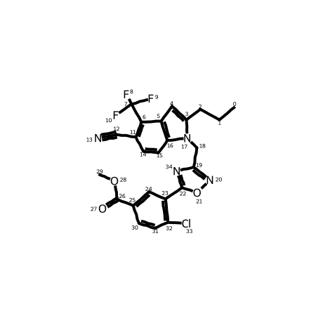 CCCc1cc2c(C(F)(F)F)c(C#N)ccc2n1Cc1noc(-c2cc(C(=O)OC)ccc2Cl)n1